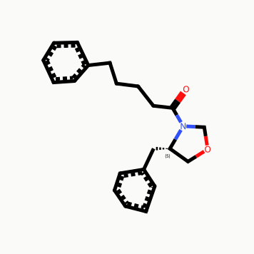 O=C(CCCCc1ccccc1)N1COC[C@@H]1Cc1ccccc1